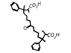 CC(C(=O)O)C(C)(CCCCC(=O)CCCCC(C)(c1ccccc1)C(C)C(=O)O)c1ccccc1